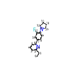 CCc1cccc(-c2ccc(N3CCCC3)c(F)c2)n1